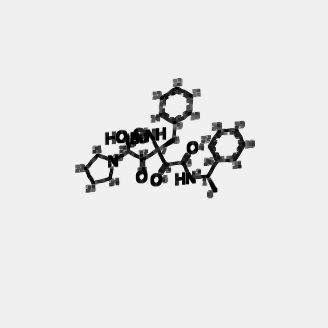 C[C@@H](NC(=O)C(=O)[C@@](Cc1ccccc1)(NC(=O)O)C(=O)C(N1CCCC1)C(C)(C)C)c1ccccc1